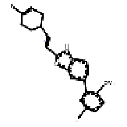 COc1ccc(F)cc1-c1ccc2[nH]c(/C=C/C3CC=C(F)CC3)nc2c1